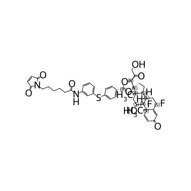 C[C@]12C=CC(=O)C=C1[C@@H](F)C[C@H]1[C@@H]3CC[C@@]4(O[C@H](c5ccc(Sc6cccc(NC(=O)CCCCCN7C(=O)C=CC7=O)c6)cc5)O[C@H]4C(=O)CO)[C@@]3(C)C[C@H](O)[C@@]12F